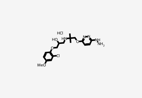 COc1ccc(OCC(O)CNC(C)(C)COc2ccc(NN)nn2)c(Cl)c1.Cl